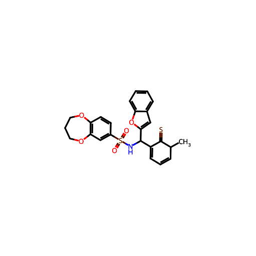 CC1C=CC=C(C(NS(=O)(=O)c2ccc3c(c2)OCCCO3)c2cc3ccccc3o2)C1=S